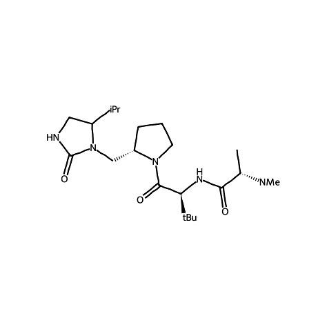 CN[C@@H](C)C(=O)N[C@H](C(=O)N1CCC[C@H]1CN1C(=O)NCC1C(C)C)C(C)(C)C